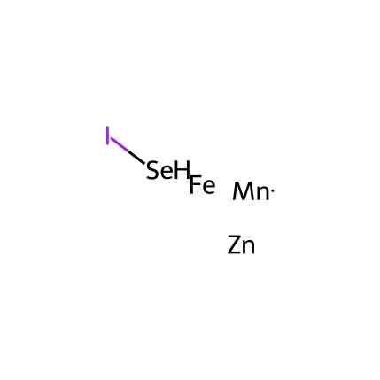 [Fe].[Mn].[SeH]I.[Zn]